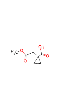 COC(=O)CC1(C(=O)O)CC1